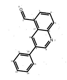 O=Cc1cccc2ncc(-c3ccccc3)cc12